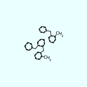 Cc1ccccc1Cc1ccccc1.Cc1ccccc1Cc1ccccc1Cc1ccccc1